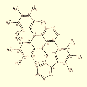 Cc1c(C)c(C)c(N2c3cccc4c3B(c3c(C)c(C)c(C)c(C)c32)n2c3ccccc3c3c(C)c(C)c(C)c-4c32)c(C)c1C